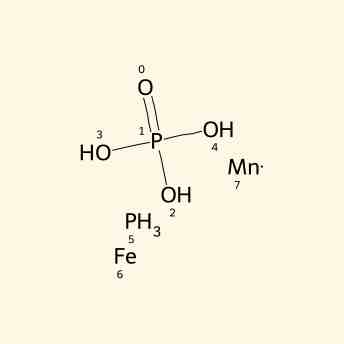 O=P(O)(O)O.P.[Fe].[Mn]